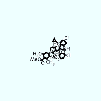 COC(=O)c1c(C)cc(N2CC[C@H]3[C@@H](C2=O)[C@H](c2cccc(Cl)c2F)[C@]2(C(=O)Nc4cc(Cl)ccc42)N3CC2CC2)c([N+](=O)[O-])c1C